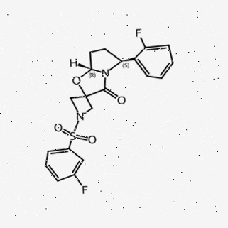 O=C1N2[C@@H](CC[C@H]2c2ccccc2F)OC12CN(S(=O)(=O)c1cccc(F)c1)C2